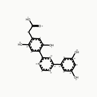 O=C(O)Cc1cc(O)c(-c2ncnc(-c3cc(O)cc(O)c3)n2)cc1O